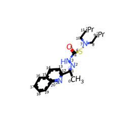 C/C(=N/NC(=O)SN(CC(C)C)CC(C)C)c1ccc2ccccc2n1